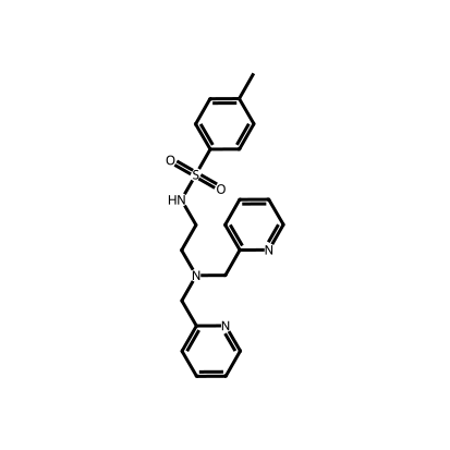 Cc1ccc(S(=O)(=O)NCCN(Cc2ccccn2)Cc2ccccn2)cc1